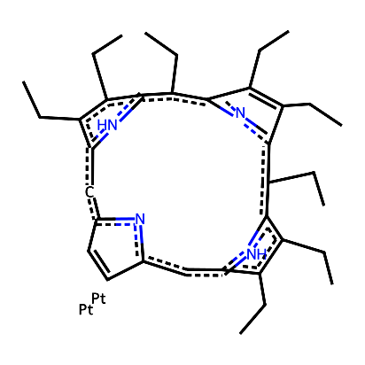 CCC1=C(CC)c2nc1c(CC)c1[nH]c(cc3nc(cc4[nH]c(c2CC)c(CC)c4CC)C=C3)c(CC)c1CC.[Pt].[Pt]